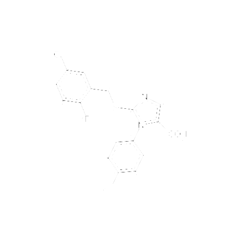 O=C(O)c1cnc(SCc2cc(Cl)ccc2F)n1-c1ccc(F)cc1